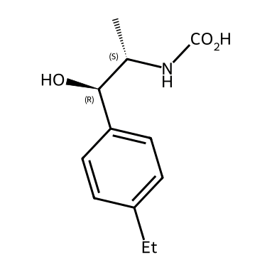 CCc1ccc([C@@H](O)[C@H](C)NC(=O)O)cc1